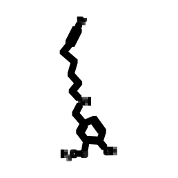 COc1cc(CNCCCCCC#CBr)ccc1O